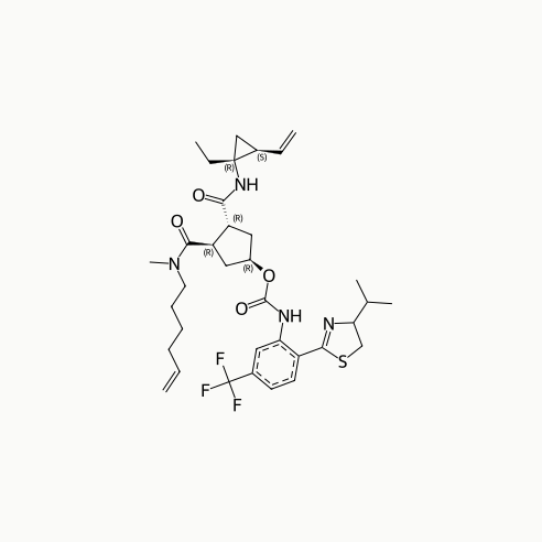 C=CCCCCN(C)C(=O)[C@@H]1C[C@H](OC(=O)Nc2cc(C(F)(F)F)ccc2C2=NC(C(C)C)CS2)C[C@H]1C(=O)N[C@]1(CC)C[C@H]1C=C